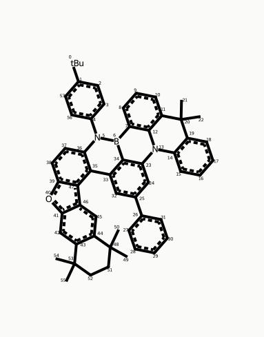 CC(C)(C)c1ccc(N2B3c4cccc5c4N(c4ccccc4C5(C)C)c4cc(-c5ccccc5)cc(c43)-c3c2ccc2oc4cc5c(cc4c32)C(C)(C)CCC5(C)C)cc1